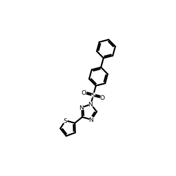 O=S(=O)(c1ccc(-c2ccccc2)cc1)n1cnc(-c2cccs2)n1